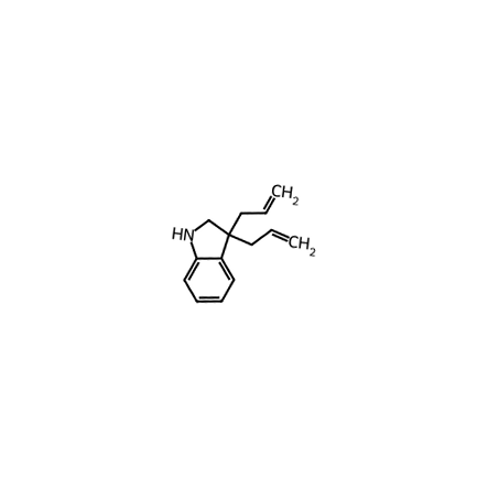 C=CCC1(CC=C)CNc2ccccc21